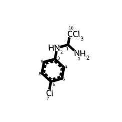 NC(Nc1ccc(Cl)cc1)C(Cl)(Cl)Cl